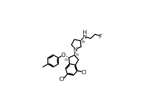 Cc1ccc(O[C@H]2c3cc(Cl)cc(Cl)c3C[C@@H]2N2CC[C@@H](NCCF)C2)cc1